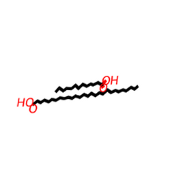 CCCCCCCCCCCCC(=O)O.CCCCCCCCCCCCCCCCCCCCCCCCCCCC(=O)O